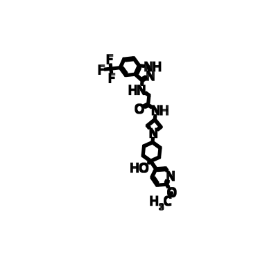 COc1ccc(C2(O)CCC(N3CC(NC(=O)CNc4n[nH]c5ccc(C(F)(F)F)cc45)C3)CC2)cn1